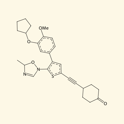 COc1ccc(-c2cc(C#CC3CCC(=O)CC3)sc2N2C=NC(C)O2)cc1OC1CCCC1